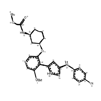 COc1cncc(O[C@@H]2CCC[C@H](NC(=O)OC(C)(C)C)C2)c1-c1cc(Nc2cnc(C#N)cn2)n[nH]1